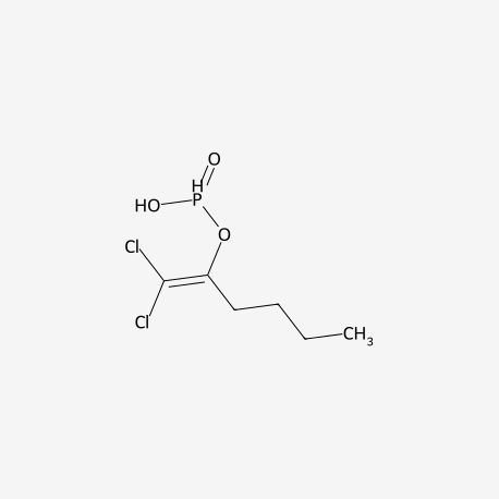 CCCCC(O[PH](=O)O)=C(Cl)Cl